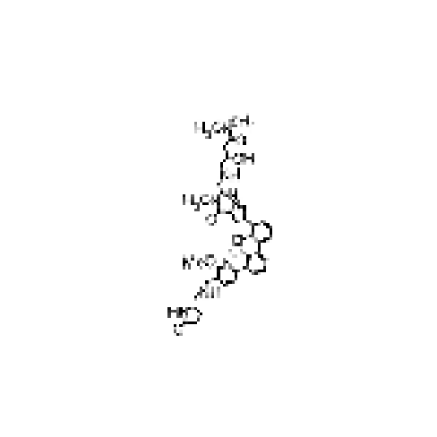 COc1nc(-c2cccc(-c3cccc(-c4cc5c(=O)n(C)c(CNCC(O)CC(=O)N(C)C)nn5c4)c3Cl)c2Cl)ccc1CNC[C@H]1CCC(=O)N1